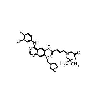 CC1(C)CN(C/C=C/C(=O)Nc2cc3c(Nc4ccc(F)c(Cl)c4)ncnc3cc2OCC2CCOC2)CC(=O)O1